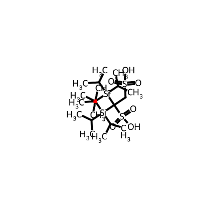 CC(C)[Si](C(C)C)(C(C)C)C(CS(=O)(=O)O)([Si](C(C)C)(C(C)C)C(C)C)S(=O)(=O)O